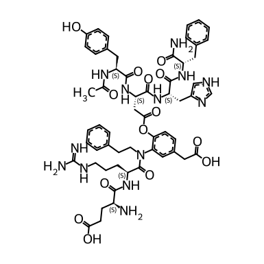 CC(=O)N[C@@H](Cc1ccc(O)cc1)C(=O)N[C@@H](CC(=O)Oc1ccc(CC(=O)O)cc1N(CCc1ccccc1)C(=O)[C@H](CCCNC(=N)N)NC(=O)[C@@H](N)CCC(=O)O)C(=O)N[C@@H](Cc1c[nH]cn1)C(=O)N[C@@H](Cc1ccccc1)C(N)=O